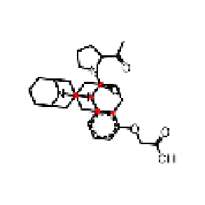 CC(=O)C1CCCN1C(=O)N(c1cccc(OCC(=O)O)c1)C1CC2CCCC(C1)N2C1CC2CCCC(C2)C1